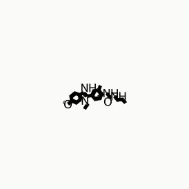 CCCNC(=O)Nc1ccc(-c2c(N)c3ccc(OC)cc3n2CC)cc1C